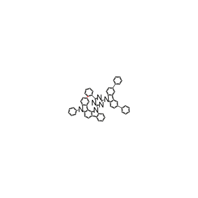 c1ccc(-c2ccc3c(c2)c2cc(-c4ccccc4)ccc2n3-c2nc(-c3ccccc3)nc(-n3c4ccccc4c4ccc5c(c6ccccc6n5-c5ccccc5)c43)n2)cc1